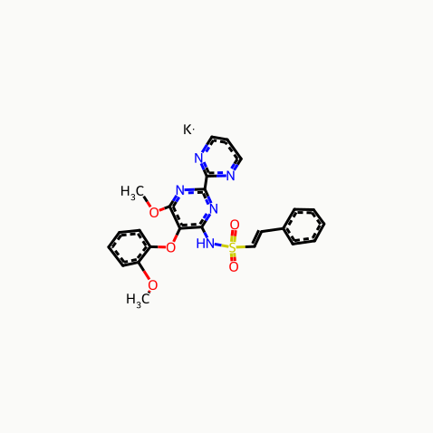 COc1ccccc1Oc1c(NS(=O)(=O)C=Cc2ccccc2)nc(-c2ncccn2)nc1OC.[K]